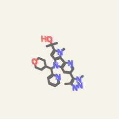 Cc1nnn(C)c1-c1cnc2c3c(cc(C(C)(C)O)n3C)n(C(c3ccccn3)C3CCOCC3)c2c1